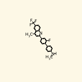 Cc1cc(-c2ccc(-c3ccc(N(C)I)cc3)c(F)c2)nc2ccc(C(F)(F)F)cc12